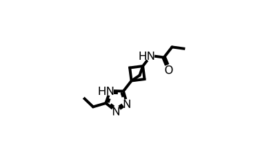 CCC(=O)NC12CC(c3nnc(CC)[nH]3)(C1)C2